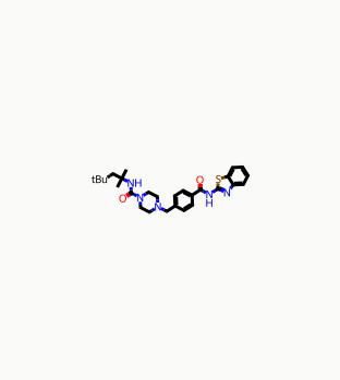 CC(C)(C)CC(C)(C)NC(=O)N1CCN(Cc2ccc(C(=O)Nc3nc4ccccc4s3)cc2)CC1